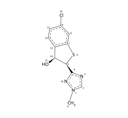 Cn1cnc([C@@H]2Sc3cc(Cl)ccc3[C@@H]2O)n1